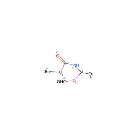 CCC(NC(=O)OC(C)(C)C)OC=O